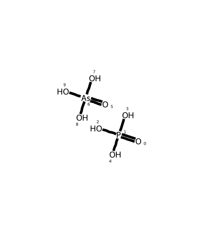 O=P(O)(O)O.O=[As](O)(O)O